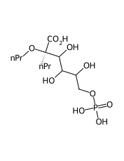 CCCO[C@@](CCC)(C(=O)O)C(O)C(O)C(O)COP(=O)(O)O